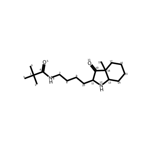 CC(C)(C)C(=O)NCCCCC1NC2CCCCC2(C)C1=O